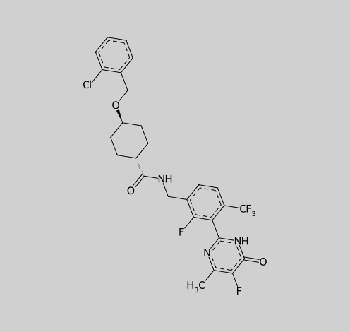 Cc1nc(-c2c(C(F)(F)F)ccc(CNC(=O)[C@H]3CC[C@H](OCc4ccccc4Cl)CC3)c2F)[nH]c(=O)c1F